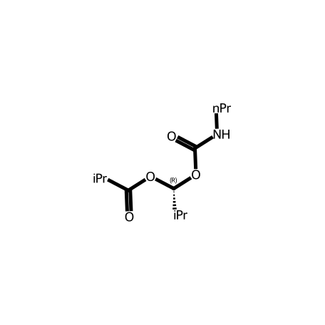 [CH2]CCNC(=O)O[C@@H](OC(=O)C(C)C)C(C)C